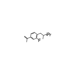 C=C(C)c1ccc(CC(C)C(C)C)c(F)c1